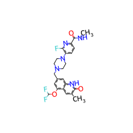 CNC(=O)c1ccc(N2CCN(Cc3cc(OC(F)F)c4cc(C)c(=O)[nH]c4c3)CC2)c(F)n1